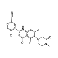 CN1CCN(c2c(F)cc3[nH]c(-c4cc(C#N)ncc4Cl)cc(=O)c3c2F)CC1=O